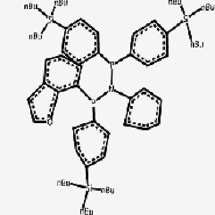 CCCC[Si](CCCC)(CCCC)c1ccc(P(c2ccc([Si](CCCC)(CCCC)CCCC)cc2)N(c2ccccc2)P(c2ccc([Si](CCCC)(CCCC)CCCC)cc2)c2cccc3ccoc23)cc1